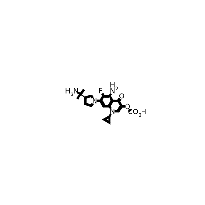 CC(C)(N)[C@@H]1CCN(c2cc3c(c(N)c2F)c(=O)c(OC(=O)O)cn3C2CC2)C1